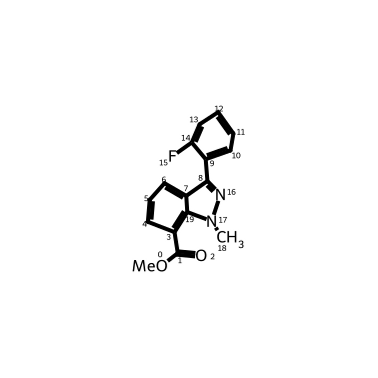 COC(=O)c1cccc2c(-c3ccccc3F)nn(C)c12